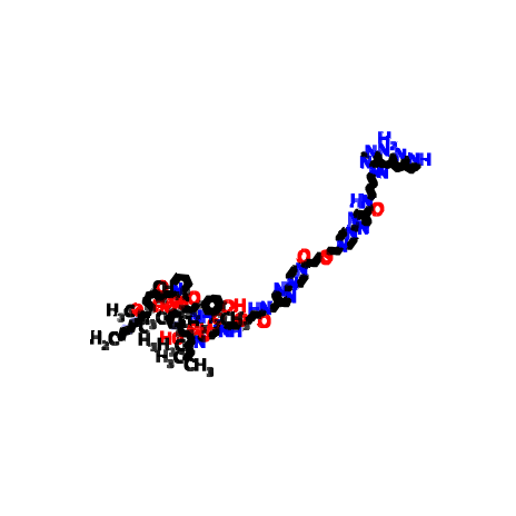 C=C/C=C/C=C(\C)[C@H](C[C@@H]1CC[C@@H](C)[C@](O)(C(=O)C(=O)N2CCCC[C@H]2C(=O)O[C@@H](C[C@@H](O)[C@H](C)/C=C(\C)[C@@H](O)[C@@H](O)C(=NOCC(=O)NCCOCCC(=O)NCc2cnc(N3CCN(C(=O)CCOCCN4CCN(c5ncc(C(=O)NCCCCn6nc(-c7cnc8[nH]ccc8c7)c7c(N)ncnc76)cn5)CC4)CC3)nc2)[C@H](C)CC(C)C)[C@H](N)C[C@@H]2CC[C@@H](O)[C@H](OC)C2)O1)OC